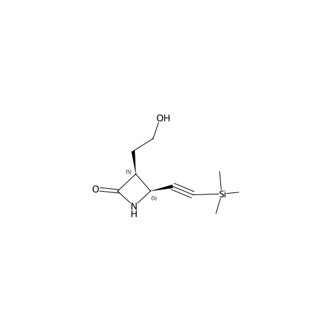 C[Si](C)(C)C#C[C@H]1NC(=O)[C@H]1CCO